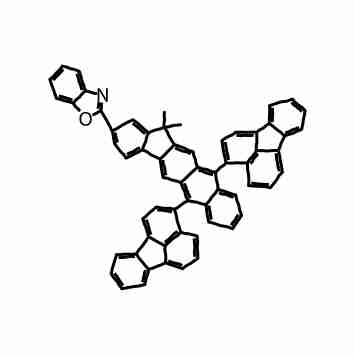 CC1(C)c2cc(-c3nc4ccccc4o3)ccc2-c2cc3c(-c4ccc5c6c(cccc46)-c4ccccc4-5)c4ccccc4c(-c4ccc5c6c(cccc46)-c4ccccc4-5)c3cc21